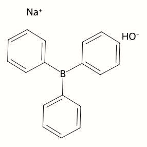 [Na+].[OH-].c1ccc(B(c2ccccc2)c2ccccc2)cc1